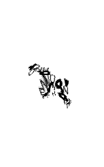 CN(C1CC1)C(c1cccc(NC(=O)c2cc(C(F)(F)F)nn2-c2cccc(CNC(=O)OC(C)(C)C)c2)c1)c1cccc(OC(F)(F)F)c1